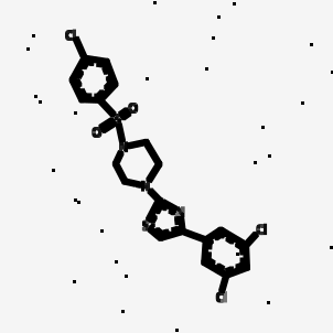 O=S(=O)(c1ccc(Cl)cc1)N1CCN(c2nc(-c3cc(Cl)cc(Cl)c3)cs2)CC1